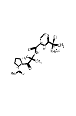 CC[C@@](C)(NC(C)=O)C(=O)N[C@@H](CC(C)C)C(=O)NC(C)(C)C(=O)N1CCC[C@H]1C(=O)NC